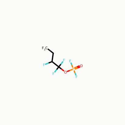 O=P(F)(F)OC(F)(F)C(F)CC(F)(F)F